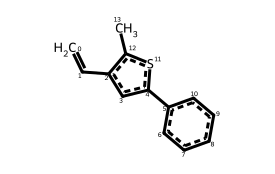 C=Cc1cc(-c2ccccc2)sc1C